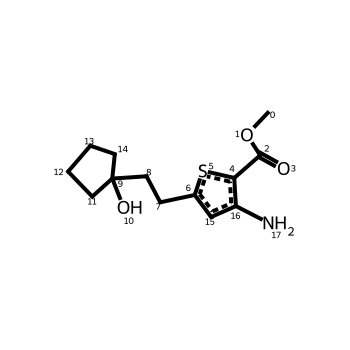 COC(=O)c1sc(CCC2(O)CCCC2)cc1N